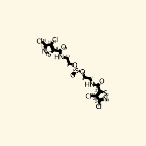 O=C(NCCOS(=O)OCCNC(=O)c1snc(Cl)c1Cl)c1snc(Cl)c1Cl